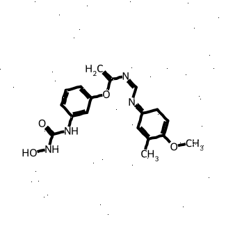 C=C(/N=C\N=C1\C=C(C)C(OC)=CC1)Oc1cccc(NC(=O)NO)c1